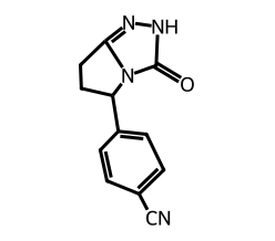 N#Cc1ccc(C2CCc3n[nH]c(=O)n32)cc1